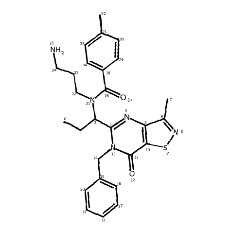 CCC(c1nc2c(C)nsc2c(=O)n1Cc1ccccc1)N(CCCN)C(=O)c1ccc(C)cc1